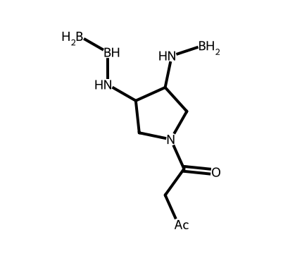 BBNC1CN(C(=O)CC(C)=O)CC1NB